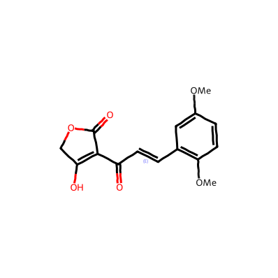 COc1ccc(OC)c(/C=C/C(=O)C2=C(O)COC2=O)c1